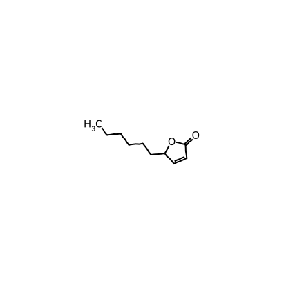 CCCCCCC1C=CC(=O)O1